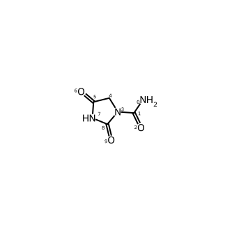 NC(=O)N1CC(=O)NC1=O